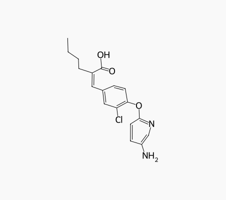 CCCCC(=Cc1ccc(Oc2ccc(N)cn2)c(Cl)c1)C(=O)O